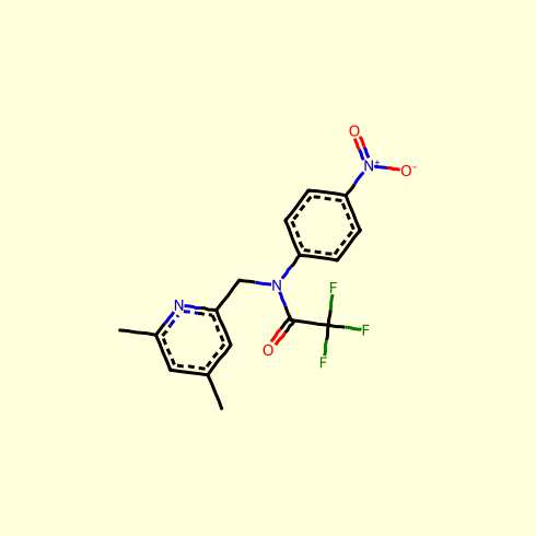 Cc1cc(C)nc(CN(C(=O)C(F)(F)F)c2ccc([N+](=O)[O-])cc2)c1